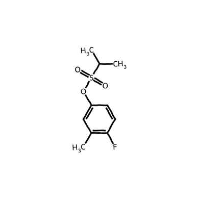 Cc1cc(OS(=O)(=O)C(C)C)ccc1F